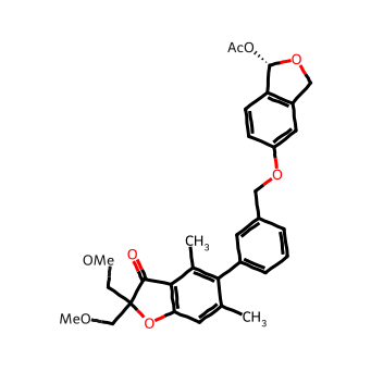 COCC1(COC)Oc2cc(C)c(-c3cccc(COc4ccc5c(c4)CO[C@H]5OC(C)=O)c3)c(C)c2C1=O